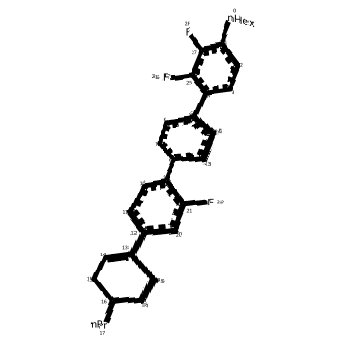 CCCCCCc1ccc(-c2ccc(-c3ccc(C4=CCC(CCC)CC4)cc3F)cc2)c(F)c1F